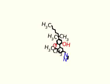 CCCCCCC(C)(C)c1cc(O)c2c(c1)OC(C)(C)C1CC=C(Cn3ccnc3)CC21